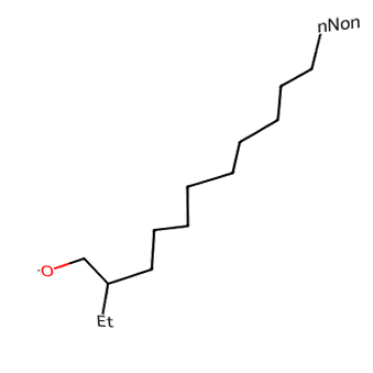 CCCCCCCCCCCCCCCCCCC(CC)C[O]